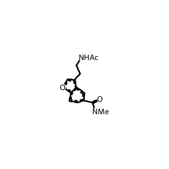 CNC(=O)c1ccc2occ(CCNC(C)=O)c2c1